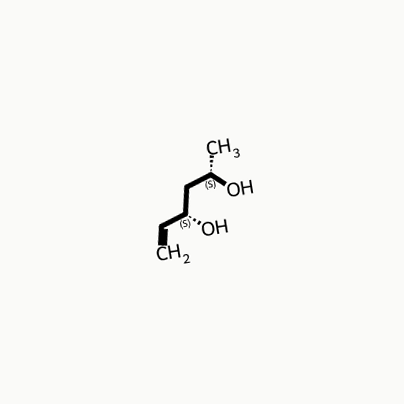 C=C[C@@H](O)C[C@H](C)O